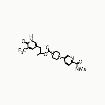 CNC(=O)c1ccc(N2CCN(C(=O)OC(C)Cc3c[nH]c(=O)c(C(F)(F)F)c3)CC2)cn1